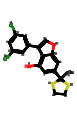 CCCCC1(c2cc(O)c3c(-c4cc(Cl)cc(Cl)c4)coc3c2)SCCS1